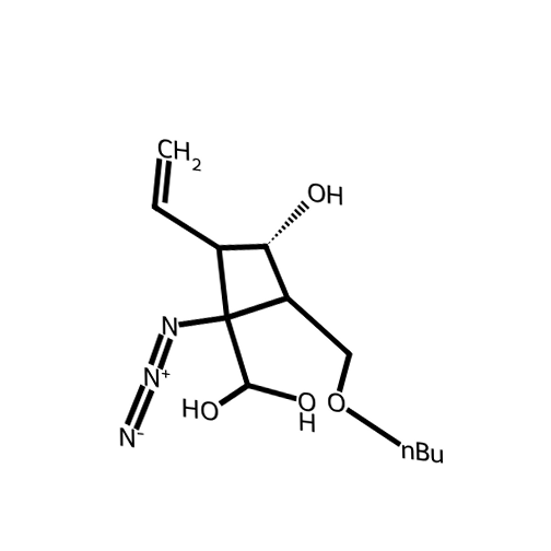 C=CC1[C@H](O)C(COCCCC)C1(N=[N+]=[N-])C(O)O